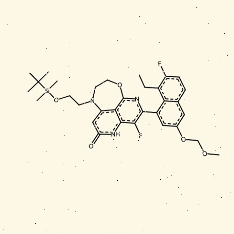 CCc1c(F)ccc2cc(OCOC)cc(-c3nc4c5c(cc(=O)[nH]c5c3F)N(CCO[Si](C)(C)C(C)(C)C)CCO4)c12